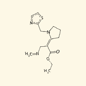 C=NC/C(C(=O)OCC)=C1/CCCN1Cc1nccs1